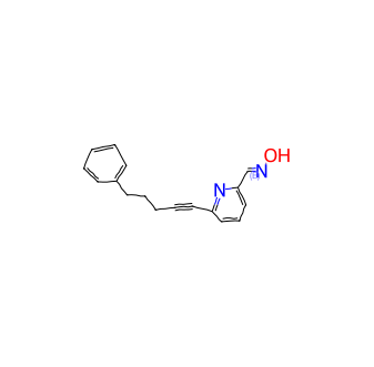 O/N=C/c1cccc(C#CCCCc2ccccc2)n1